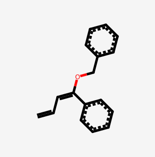 C=CC=C(OCc1ccccc1)c1ccccc1